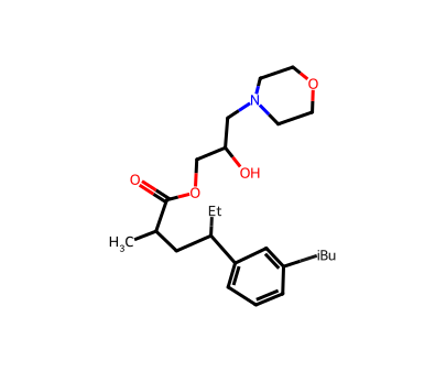 CCC(C)c1cccc(C(CC)CC(C)C(=O)OCC(O)CN2CCOCC2)c1